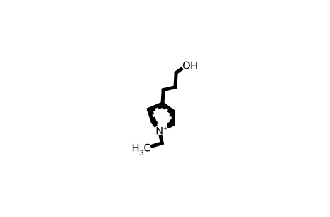 CC[n+]1ccc(CCCO)cc1